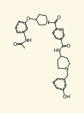 CC(=O)Nc1cccc(OC2CCN(C(=O)c3ccc(C(=O)NC4CCN(Cc5cccc(O)c5)CC4)cn3)CC2)c1